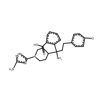 Nc1n[nH]c(N2CCC(C(N)(CCc3ccc(Cl)cc3)c3ccccc3C(=O)O)CC2)n1